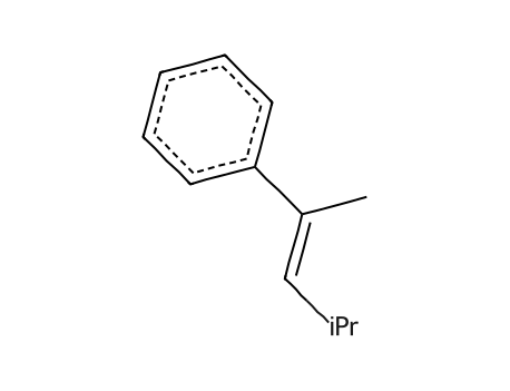 C/C(=C\C(C)C)c1ccccc1